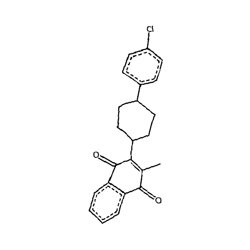 CC1=C(C2CCC(c3ccc(Cl)cc3)CC2)C(=O)c2ccccc2C1=O